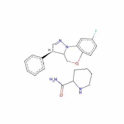 Fc1ccc2c(c1)N1N=C[C@H](c3ccccc3)C1CO2.NC(=O)C1CCCCN1